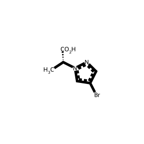 C[C@H](C(=O)O)n1cc(Br)cn1